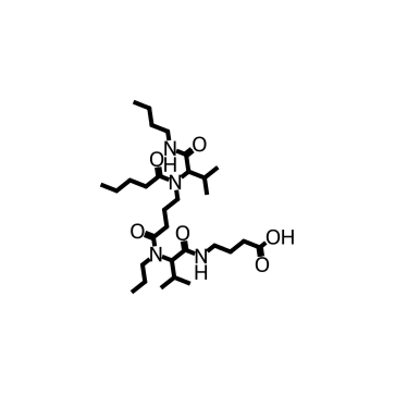 CCCCNC(=O)C(C(C)C)N(CCCC(=O)N(CCC)C(C(=O)NCCCC(=O)O)C(C)C)C(=O)CCCC